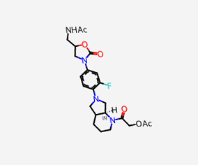 CC(=O)NCC1CN(c2ccc(N3CC4CCCN(C(=O)COC(C)=O)[C@@H]4C3)c(F)c2)C(=O)O1